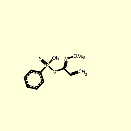 C=CC(=NOC)OP(O)(=S)c1ccccc1